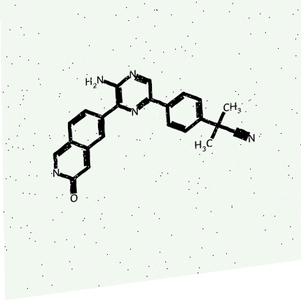 CC(C)(C#N)c1ccc(-c2cnc(N)c(-c3ccc4c(c3)=CC(=O)[N]C=4)n2)cc1